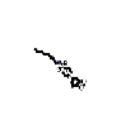 CCCCCC#C/C=C/S(=O)(=O)N1CCN(c2ccc3c(c2)OCO3)CC1